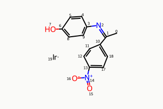 CC(=Nc1ccc(O)cc1)c1ccc([N+](=O)[O-])cc1.[Ir]